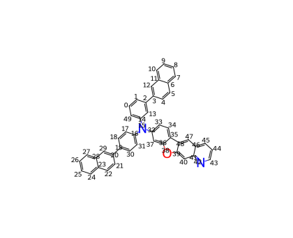 c1cc(-c2ccc3ccccc3c2)cc(N(c2ccc(-c3ccc4ccccc4c3)cc2)c2ccc3c(c2)oc2cc4ncccc4cc23)c1